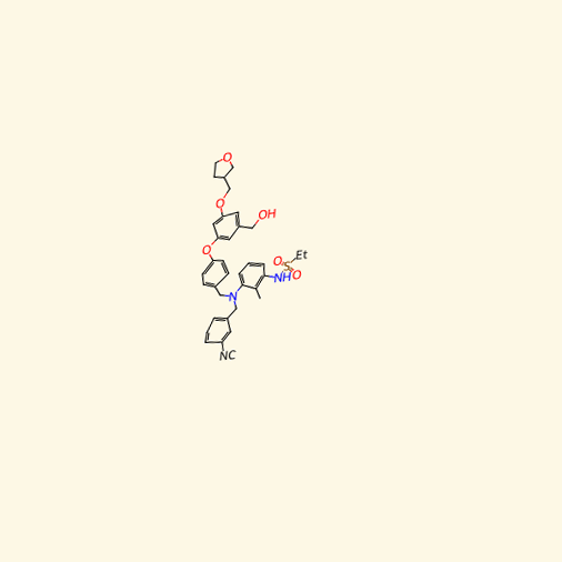 [C-]#[N+]c1cccc(CN(Cc2ccc(Oc3cc(CO)cc(OCC4CCOC4)c3)cc2)c2cccc(NS(=O)(=O)CC)c2C)c1